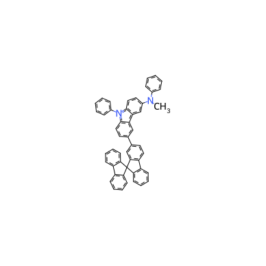 CN(c1ccccc1)c1ccc2c(c1)c1cc(-c3ccc4c(c3)C3(c5ccccc5-c5ccccc53)c3ccccc3-4)ccc1n2-c1ccccc1